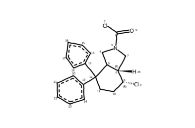 O=C(Cl)N1CC2[C@H](C1)[C@H](Cl)CCC2(c1ccccc1)c1ccccc1